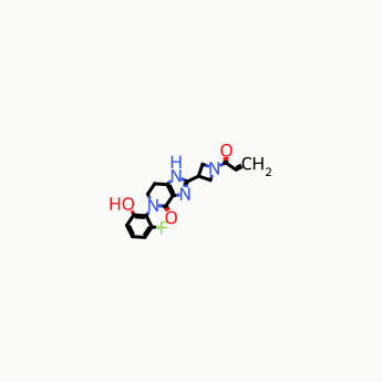 C=CC(=O)N1CC(c2nc3c([nH]2)CCN(c2c(O)cccc2F)C3=O)C1